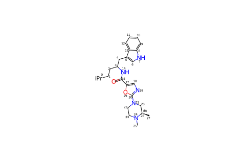 CC(C)CCC(Cc1c[nH]c2ccccc12)NC(=O)c1cnc(N2CCN(C)[C@H](C)C2)o1